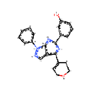 Oc1cccc(-c2nc(C3=CCOCC3)c3cnn(-c4ccccc4)c3n2)c1